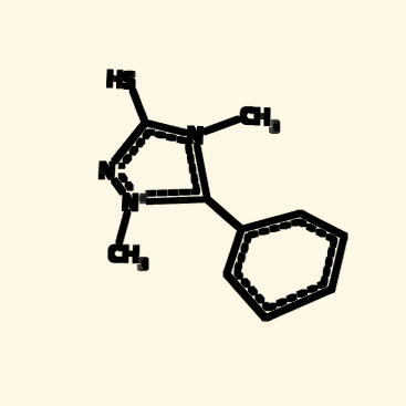 Cn1c(S)n[n+](C)c1-c1ccccc1